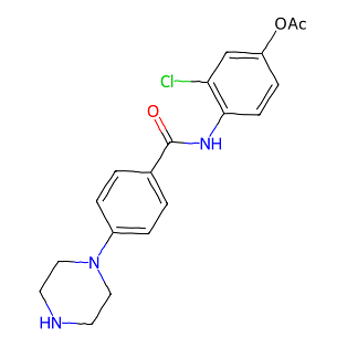 CC(=O)Oc1ccc(NC(=O)c2ccc(N3CCNCC3)cc2)c(Cl)c1